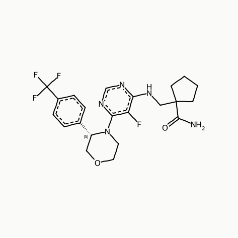 NC(=O)C1(CNc2ncnc(N3CCOC[C@@H]3c3ccc(C(F)(F)F)cc3)c2F)CCCC1